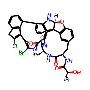 CC(C)[C@H](O)C(=O)NC1Cc2ccc3c(c2)C24c5cccc(c5N[C@H]2O3)-c2cccc3c2C(=C(Cl)C3)c2oc(nc2Br)-c2nc(oc24)[C@H](C(C)C)NC1=O